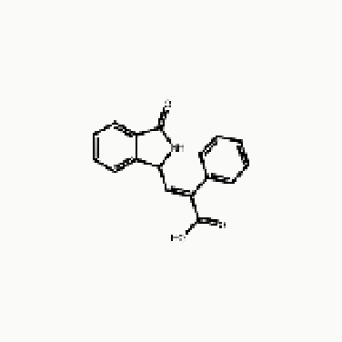 O=C(O)/C(=C/C1NC(=O)c2ccccc21)c1ccccc1